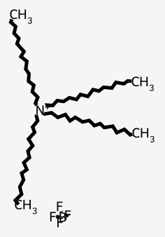 CCCCCCCCCCCCCCCC[N+](CCCCCCCCCCCCCCCC)(CCCCCCCCCCCCCCCC)CCCCCCCCCCCCCCCC.F[B-](F)(F)F